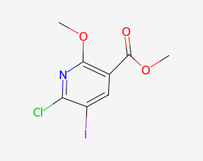 COC(=O)c1cc(I)c(Cl)nc1OC